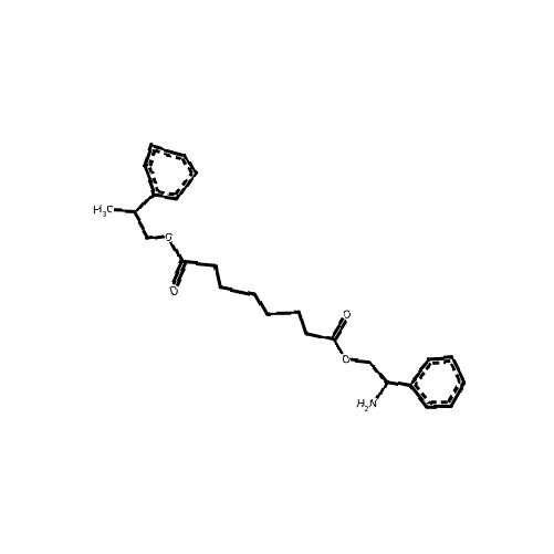 CC(COC(=O)CCCCCCC(=O)OCC(N)c1ccccc1)c1ccccc1